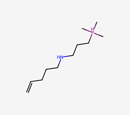 C=CCCCNCCC[PH](C)(C)C